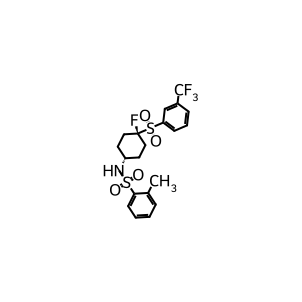 Cc1ccccc1S(=O)(=O)N[C@H]1CC[C@@](F)(S(=O)(=O)c2cccc(C(F)(F)F)c2)CC1